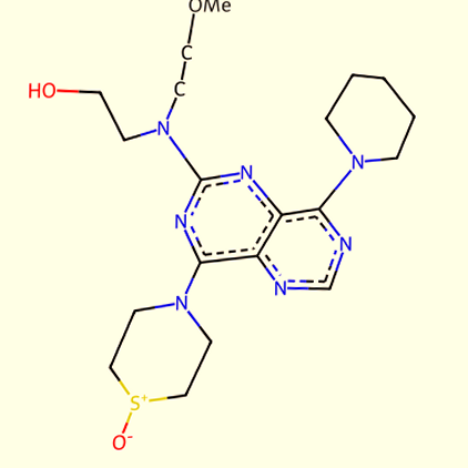 COCCN(CCO)c1nc(N2CC[S+]([O-])CC2)c2ncnc(N3CCCCC3)c2n1